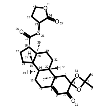 CC1(C)OC2(C[C@@]3(C)C(=CC2=O)CC[C@H]2[C@@H]4CC[C@@H](C(=O)SC5CCOC5=O)[C@@]4(C)CC[C@@H]23)O1